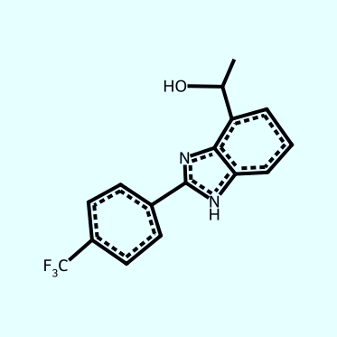 CC(O)c1cccc2[nH]c(-c3ccc(C(F)(F)F)cc3)nc12